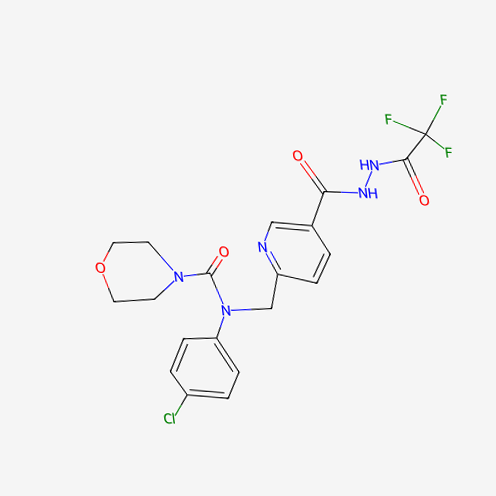 O=C(NNC(=O)C(F)(F)F)c1ccc(CN(C(=O)N2CCOCC2)c2ccc(Cl)cc2)nc1